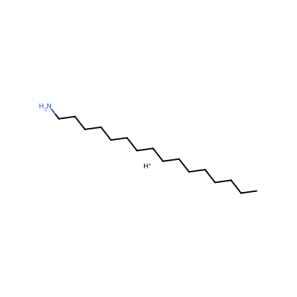 CCCCCCCCCCCCCCCCN.[H+]